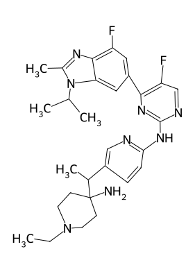 CCN1CCC(N)(C(C)c2ccc(Nc3ncc(F)c(-c4cc(F)c5nc(C)n(C(C)C)c5c4)n3)nc2)CC1